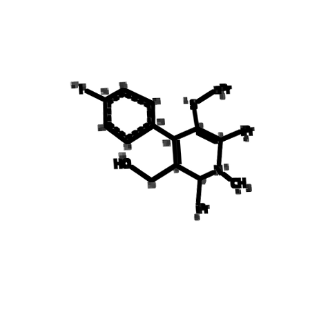 CCCSC1=C(C(C)C)N(C)C(C(C)C)C(CO)=C1c1ccc(F)cc1